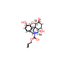 C=CCOC(=O)N1CCC23c4c5ccc(O)c4O[C@H]2C(=O)CC[C@@]3(O)[C@H]1C5